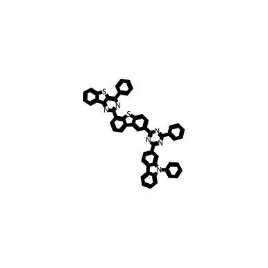 c1ccc(-c2nc(-c3ccc4sc5c(-c6nc(-c7ccccc7)c7sc8ccccc8c7n6)cccc5c4c3)nc(-c3ccc4c5ccccc5n(-c5ccccc5)c4c3)n2)cc1